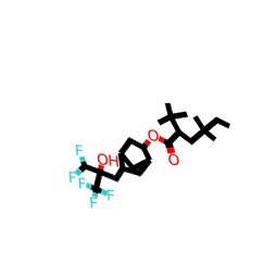 CCC(C)(C)CC(C(=O)OC1CC2CC1CC2CC(O)(C(F)F)C(F)(F)F)C(C)(C)C